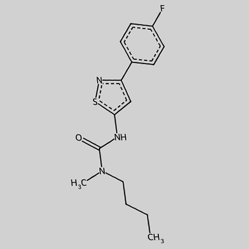 CCCCN(C)C(=O)Nc1cc(-c2ccc(F)cc2)ns1